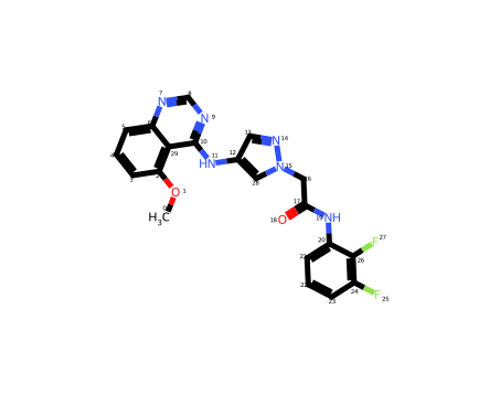 COc1cccc2ncnc(Nc3cnn(CC(=O)Nc4cccc(F)c4F)c3)c12